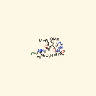 COc1cc(Cc2cncnc2N(C(=O)C(C)C)C(=O)C(C)C)c2cc(CNc3cc(Cl)ccc3C(=O)O)oc2c1OC